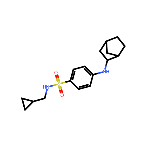 O=S(=O)(NCC1CC1)c1ccc(NC2CC3CCC2C3)cc1